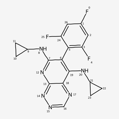 Fc1cc(F)c(-c2c(NC3CC3)nc3nncnc3c2NC2CC2)c(F)c1